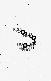 CC(C)(Cc1cccc(CC(=O)NCc2ccc(OC(F)(F)F)cc2)c1)NC[C@@H](O)c1ccc(O)c(NC=O)c1